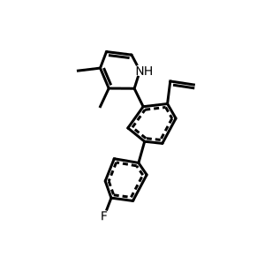 C=Cc1ccc(-c2ccc(F)cc2)cc1C1NC=CC(C)=C1C